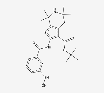 CC1(C)Cc2c(sc(NC(=O)c3cccc(BO)c3)c2C(=O)OC(C)(C)C)C(C)(C)N1